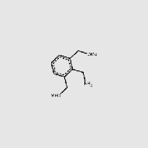 COCc1cccc(COC)c1CN